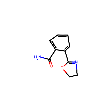 NC(=O)c1ccccc1C1=NCCO1